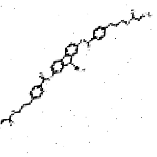 C#CC1c2cc(OC(=O)c3ccc(CCCOC(=O)C=C)cc3)ccc2-c2ccc(OC(=O)c3ccc(CCCOC(=O)C=C)cc3)cc21